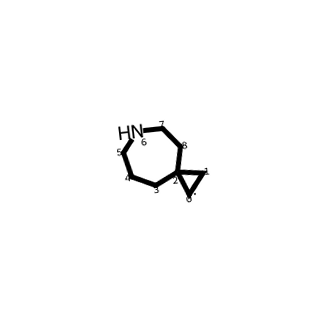 [CH]1CC12CCCNCC2